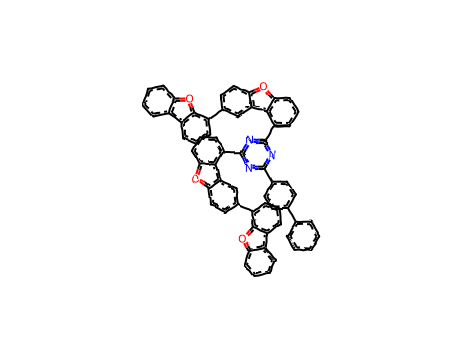 c1ccc(-c2ccc(-c3nc(-c4cccc5oc6ccc(-c7cccc8c7oc7ccccc78)cc6c45)nc(-c4cccc5oc6ccc(-c7cccc8c7oc7ccccc78)cc6c45)n3)cc2)cc1